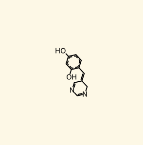 Oc1ccc(C=C2C=NC=NC2)c(O)c1